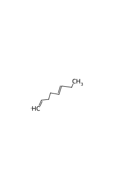 [CH]=CCCC=CCC